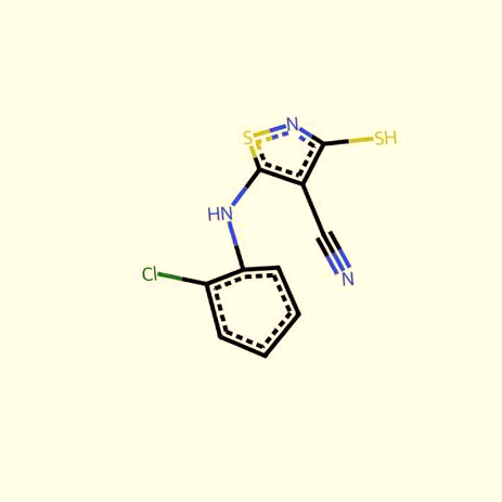 N#Cc1c(S)nsc1Nc1ccccc1Cl